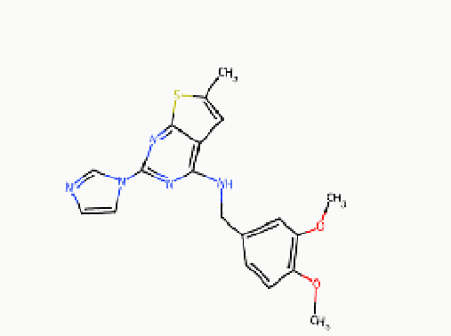 COc1ccc(CNc2nc(-n3ccnc3)nc3sc(C)cc23)cc1OC